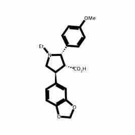 CCN1C[C@H](c2ccc3c(c2)OCO3)[C@@H](C(=O)O)[C@H]1c1ccc(OC)cc1